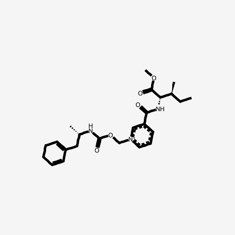 CC[C@H](C)[C@H](NC(=O)c1ccc[n+](COC(=O)N[C@@H](C)CC2=CCCC=C2)c1)C(=O)OC